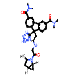 C[C@@H](CC1(c2nn[nH]n2)c2ccc(C(=O)N(C)C)cc2-c2cc(C(=O)N(C)C)ccc21)NCC(=O)N1C(C#N)C[C@@H]2C[C@@H]21